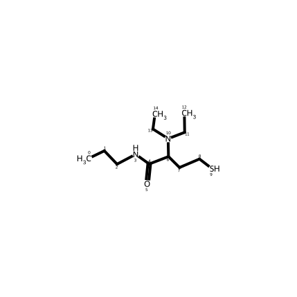 CCCNC(=O)C(CCS)N(CC)CC